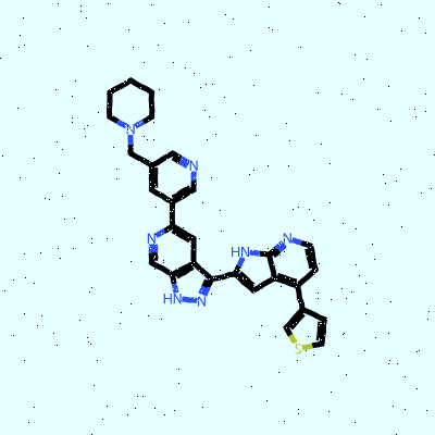 c1cc(-c2ccsc2)c2cc(-c3n[nH]c4cnc(-c5cncc(CN6CCCCC6)c5)cc34)[nH]c2n1